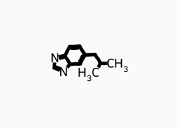 CC(C)CC1=CC2N=CN=C2C=C1